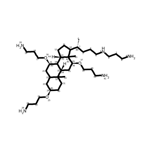 C[C@H](CCCNCCCN)C1CC[C@H]2C3[C@H](OCCCN)CC4C[C@H](OCCCN)CCC4(C)[C@H]3C[C@H](OCCCN)C12C